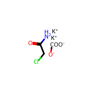 NC(=O)CCl.O=C([O-])[O-].[K+].[K+]